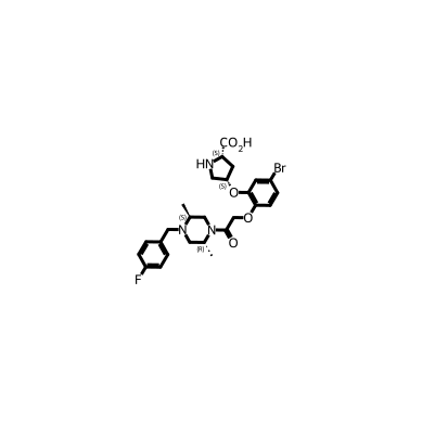 C[C@@H]1CN(Cc2ccc(F)cc2)[C@@H](C)CN1C(=O)COc1ccc(Br)cc1O[C@@H]1CN[C@H](C(=O)O)C1